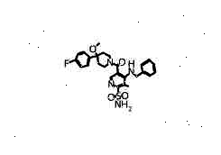 COC1(c2ccc(F)cc2)CCN(C(=O)c2cnc(S(N)(=O)=O)c(C)c2NCc2ccccc2)CC1